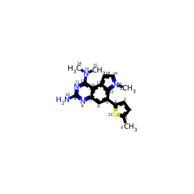 Cc1ccc(-c2cc3nc(N)nc(N(C)C)c3c3ccn(C)c23)s1